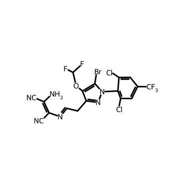 N#CC(N)=C(C#N)N=CCc1nn(-c2c(Cl)cc(C(F)(F)F)cc2Cl)c(Br)c1OC(F)F